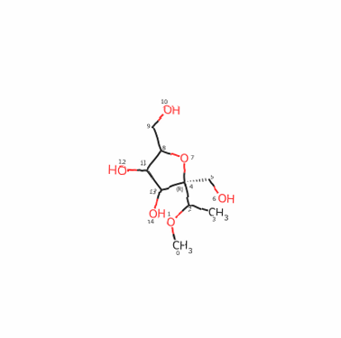 COC(C)[C@]1(CO)OC(CO)C(O)C1O